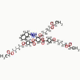 C=CC(=O)OCCCCCCOc1ccc(C(=O)Oc2ccc(OC(=O)c3ccc(OCCCCCCOC(=O)C=C)cc3)c(OCCCCCCOC(=O)C=C)c2/C=N/Nc2ccc3ccccc3c2)cc1